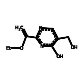 C=C(OCC)c1ncc(CO)c(O)n1